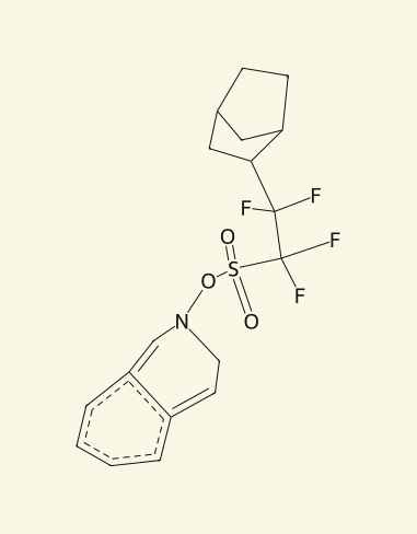 O=S(=O)(ON1C=c2ccccc2=CC1)C(F)(F)C(F)(F)C1CC2CCC1C2